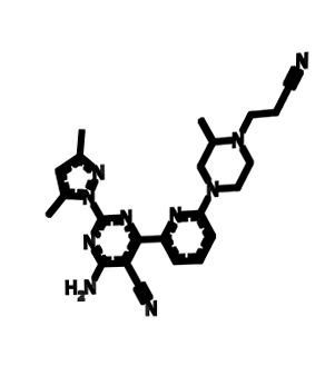 Cc1cc(C)n(-c2nc(N)c(C#N)c(-c3cccc(N4CCN(CCC#N)C(C)C4)n3)n2)n1